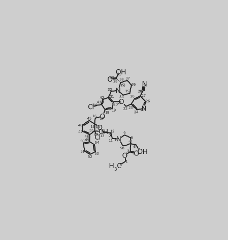 CCOC(=O)C1(CO)CCN(CCCOC2(COc3cc(OCc4cncc(C#N)c4)c(CN4CCCC[C@H]4C(=O)O)cc3Cl)C=CC=C(c3ccccc3)C2(C)Cl)C1